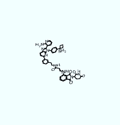 Nc1ncccc1-c1nc2ccc(-c3cccc(CCNC(=O)CCNc4cccc5c4C(=O)N(C4CCC(=O)NC4=O)C5=O)c3)nc2n1-c1ccc(C2(N)CCC2)cc1